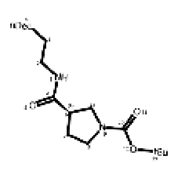 CCCCCCCCCCCCNC(=O)[C@@H]1CCN(C(=O)OC(C)(C)C)C1